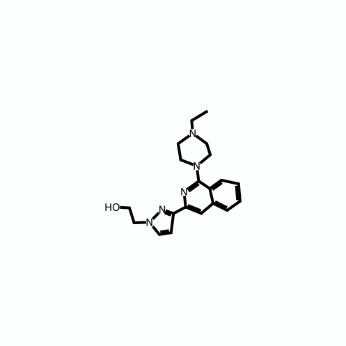 CCN1CCN(c2nc(-c3ccn(CCO)n3)cc3ccccc23)CC1